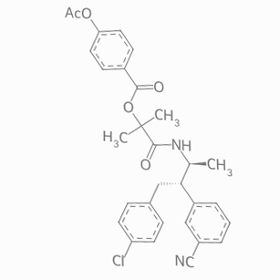 CC(=O)Oc1ccc(C(=O)OC(C)(C)C(=O)N[C@@H](C)[C@@H](Cc2ccc(Cl)cc2)c2cccc(C#N)c2)cc1